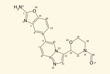 Nc1nc2cc(-c3ccc4ncc(C5CN(C=O)CCO5)n4c3)ccc2o1